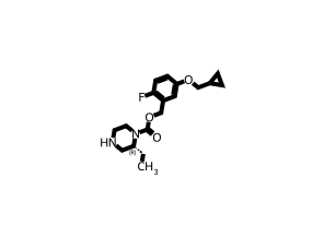 CC[C@@H]1CNCCN1C(=O)OCc1cc(OCC2CC2)ccc1F